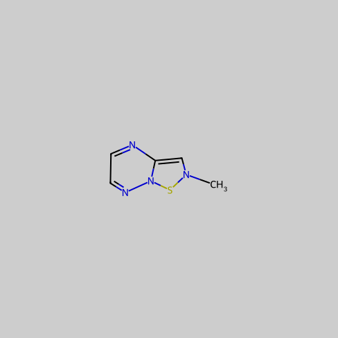 CN1C=C2N=CC=NN2S1